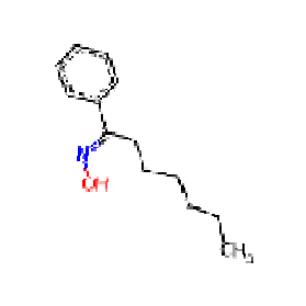 CCCCCC/C(=N\O)c1ccccc1